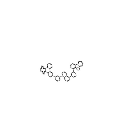 c1cc(-c2ccc3c(c2)c2ccccc2c2nccnc32)cc(-c2cccc3c(-c4cccc(-c5cccc6c5oc5ccccc56)c4)cccc23)c1